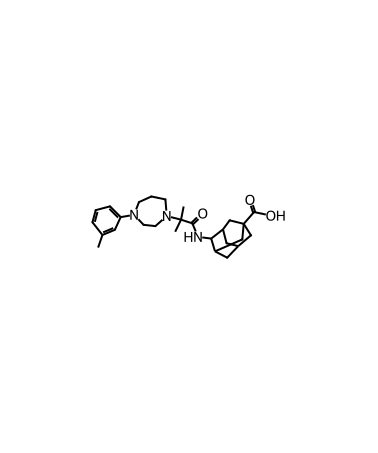 Cc1cccc(N2CCCN(C(C)(C)C(=O)NC3C4CC5CC3CC(C(=O)O)(C5)C4)CC2)c1